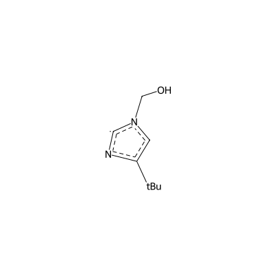 CC(C)(C)c1cn(CO)[c]n1